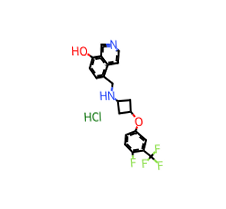 Cl.Oc1ccc(CNC2CC(Oc3ccc(F)c(C(F)(F)F)c3)C2)c2ccncc12